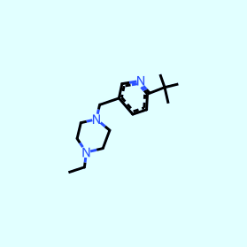 CCN1CCN(Cc2ccc(C(C)(C)C)nc2)CC1